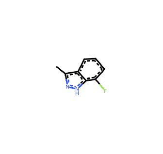 Cc1n[nH]c2c(F)cccc12